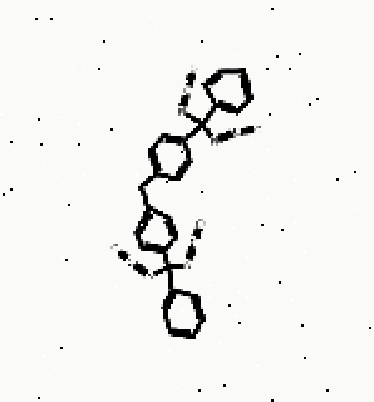 O=C=NC(N=C=O)(c1ccccc1)c1ccc([CH]c2ccc(C(N=C=O)(N=C=O)c3ccccc3)cc2)cc1